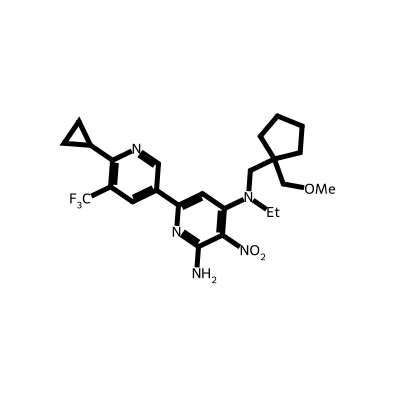 CCN(CC1(COC)CCCC1)c1cc(-c2cnc(C3CC3)c(C(F)(F)F)c2)nc(N)c1[N+](=O)[O-]